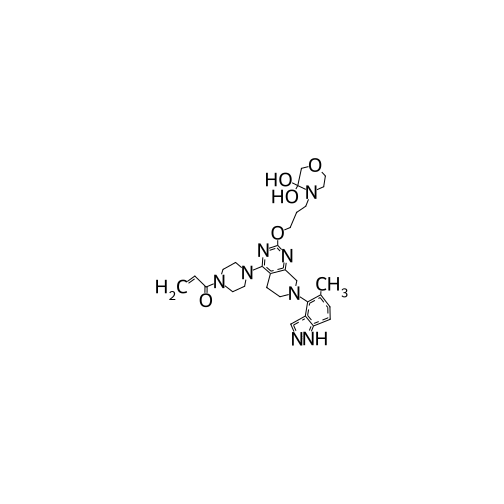 C=CC(=O)N1CCN(c2nc(OCCCN3CCOCC3(O)O)nc3c2CCN(c2c(C)ccc4[nH]ncc24)C3)CC1